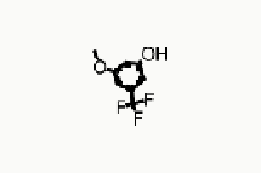 COc1cc(O)cc(C(F)(F)F)c1